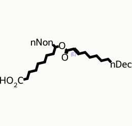 CCCCCCCCCCCCCCC/C=C/C(=O)OC(CCCCCCCCC)CCCCCCCC(=O)O